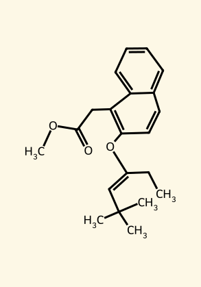 CC/C(=C\C(C)(C)C)Oc1ccc2ccccc2c1CC(=O)OC